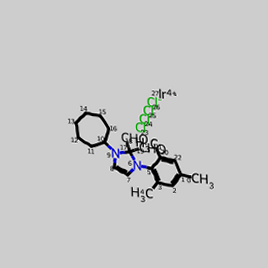 Cc1cc(C)c(N2C=CN(C3CCCCCC3)C2(C=O)C=O)c(C)c1.[Cl-].[Cl-].[Cl-].[Cl-].[Ir+4]